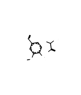 CC(C)C(=O)O.COc1cc(C=O)ccc1O